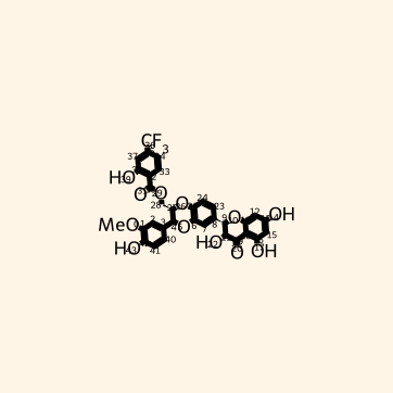 COc1cc(C2Oc3cc([C@@H]4Oc5cc(O)cc(O)c5C(=O)C4O)ccc3O[C@H]2COC(=O)c2ccc(C(F)(F)F)cc2O)ccc1O